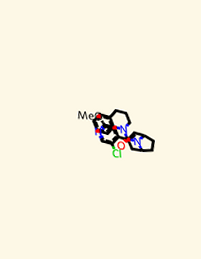 COc1cc(C2=CC3CCC(C2)N3C(=O)N2CCCc3ccccc32)c(Cl)cn1